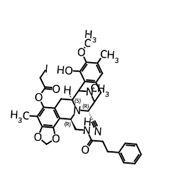 COc1c(C)cc2c(c1O)C1[C@@H]3Cc4c(OC(=O)CI)c(C)c5c(c4[C@H](CNC(=O)CCc4ccccc4)N3[C@@H](C#N)C(C2)N1C)OCO5